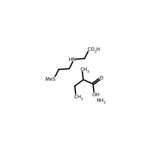 CCC(C)C(=O)O.CSCCNCC(=O)O.N